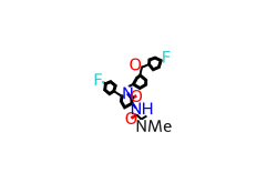 CNC(C)C(=O)Nc1ccc(-c2ccc(F)cc2)n(Cc2cccc(C(=O)c3ccc(F)cc3)c2)c1=O